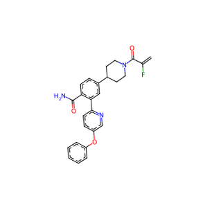 C=C(F)C(=O)N1CCC(c2ccc(C(N)=O)c(-c3ccc(Oc4ccccc4)cn3)c2)CC1